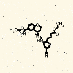 CCOC(=O)CCCc1ccc(C#N)cc1NC[C@@H]1C[C@]12CCOc1ccc(-c3nnc(C)o3)cc12